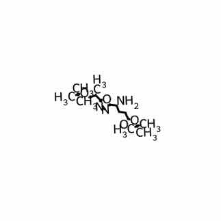 C[C@@H](COC(C)(C)C)c1nnc([C@@H](N)CCC(=O)OC(C)(C)C)o1